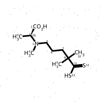 C[C@@H](C(=O)O)N(C)CCCC(C)(C)C(=S)S